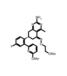 COCCON=C1C[C@@H](c2ccc(F)cc2-c2cccc(OC)n2)Cc2nc(N)nc(C)c21